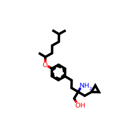 CC(C)CCCC(C)Oc1ccc(CCC(N)(CO)CC2CC2)cc1